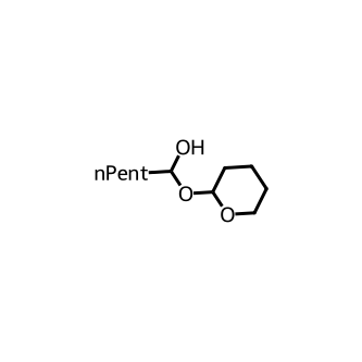 CCCCCC(O)OC1CCCCO1